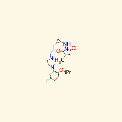 CC(C)Oc1ccc(F)cc1N1CCN(CCCC2CC2NN2C(=O)CC(C)C2=O)CC1